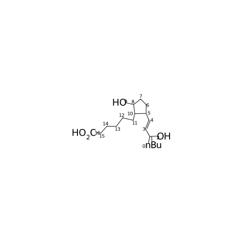 CCCCC(O)C=CC1CCC(O)C1CCCCCC(=O)O